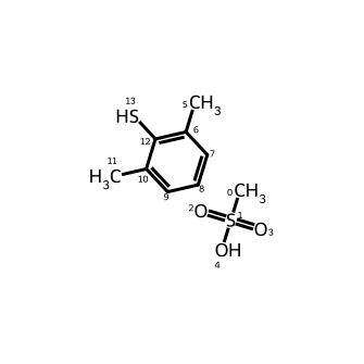 CS(=O)(=O)O.Cc1cccc(C)c1S